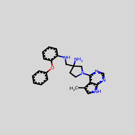 Cc1c[nH]c2ncnc(N3CCC(N)(CNc4ccccc4Oc4ccccc4)C3)c12